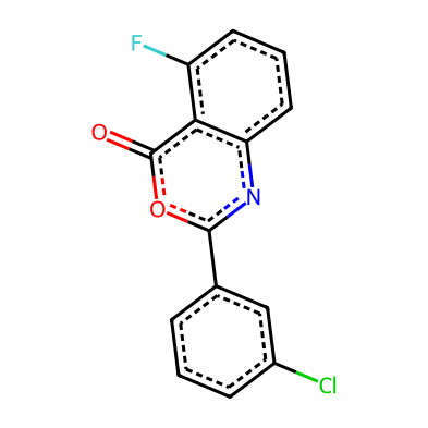 O=c1oc(-c2cccc(Cl)c2)nc2cccc(F)c12